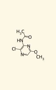 COc1cnc(Cl)c(NC(C)=O)n1